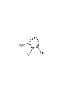 [CH2]c1cccc(C)c1[CH2]